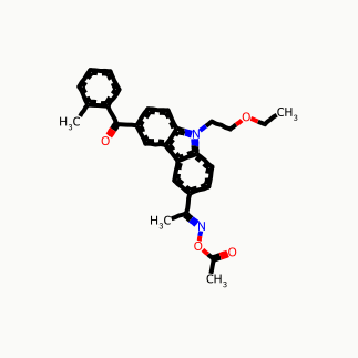 CCOCCn1c2ccc(C(=O)c3ccccc3C)cc2c2cc(/C(C)=N/OC(C)=O)ccc21